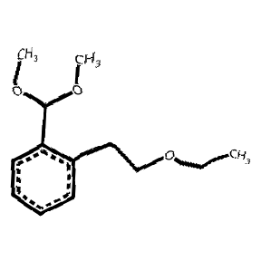 CCOCCc1ccccc1[C](OC)OC